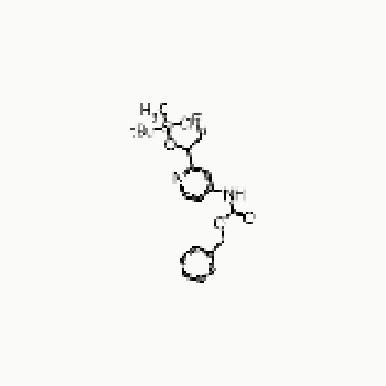 CC(C)(C)[Si](C)(C)OC(CF)c1cc(NC(=O)OCc2ccccc2)ccn1